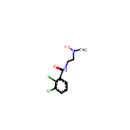 O=CN(O)CCNC(=O)c1cccc(Cl)c1Cl